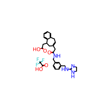 O=C(O)C(F)(F)F.O=C(O)CC1CC(CC(=O)NCc2cccc(CNC3=NCCN3)c2)=CCc2ccccc21